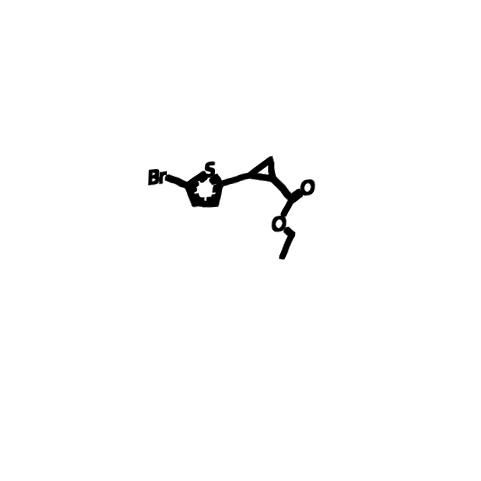 CCOC(=O)C1CC1c1ccc(Br)s1